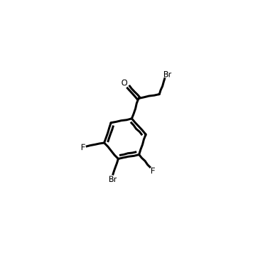 O=C(CBr)c1cc(F)c(Br)c(F)c1